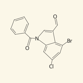 O=Cc1cn(C(=O)c2ccccc2)c2cc(Cl)cc(Br)c12